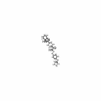 O=C(NCCc1ccc(CN2CCCC2)cc1)N1CCC(c2nc3ccccc3[nH]2)CC1